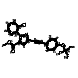 COC(=O)c1cc(C#Cc2ccc(OC(F)(F)F)cc2)nn1-c1ncccc1Cl